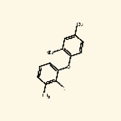 CC(C)(C)c1ccc(Oc2cccc(P)c2Cl)c(C(C)(C)C)c1